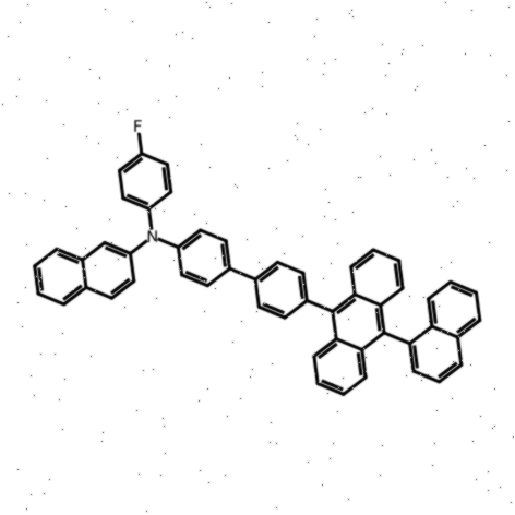 Fc1ccc(N(c2ccc(-c3ccc(-c4c5ccccc5c(-c5cccc6ccccc56)c5ccccc45)cc3)cc2)c2ccc3ccccc3c2)cc1